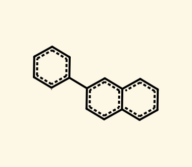 [c]1ccccc1-c1ccc2ccccc2c1